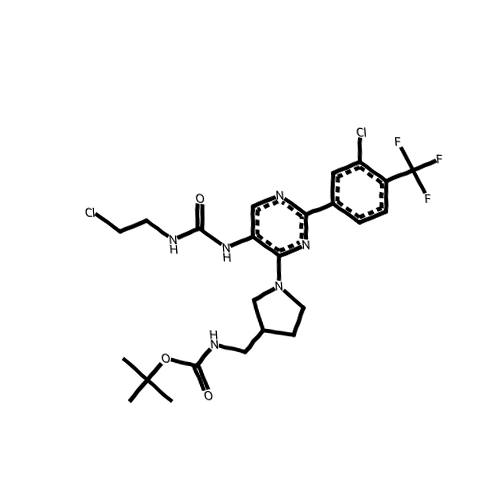 CC(C)(C)OC(=O)NCC1CCN(c2nc(-c3ccc(C(F)(F)F)c(Cl)c3)ncc2NC(=O)NCCCl)C1